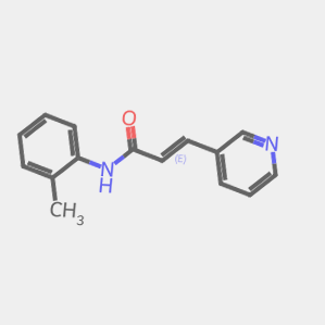 Cc1ccccc1NC(=O)/C=C/c1cccnc1